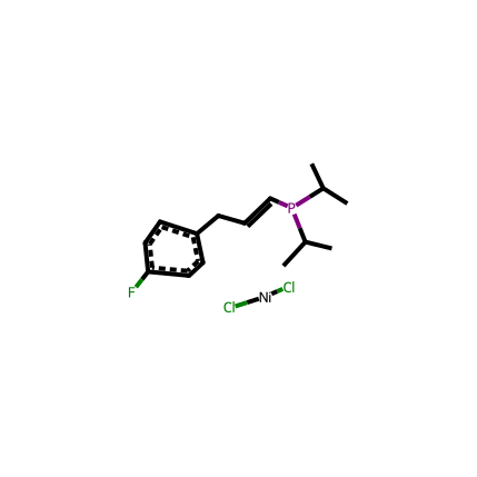 CC(C)P(C=CCc1ccc(F)cc1)C(C)C.[Cl][Ni][Cl]